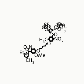 CC[C@@H]1CC(C)=CN1C(=O)c1cc(OC)c(OCCCCCOc2cc([N+](=O)[O-])c(C(=O)N3C=C(OS(=O)(=O)C(F)(F)F)C[C@H]3CO[Si](C)(C)C(C)(C)C)cc2C)cc1[N+](=O)[O-]